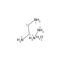 NCCN.NN.O